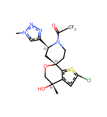 Cn1cc([C@@H]2C[C@]3(CCN2C(=O)C(F)(F)F)OC[C@@](C)(O)c2cc(Cl)sc23)nn1